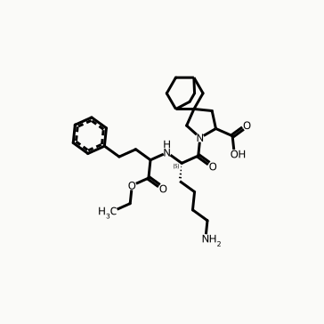 CCOC(=O)C(CCc1ccccc1)N[C@@H](CCCCN)C(=O)N1CC2(CC3CCC2CC3)CC1C(=O)O